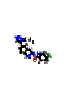 Cn1nncc1-c1ccc2cnc(NC(=O)C3CCC(F)(F)CC3)cc2c1